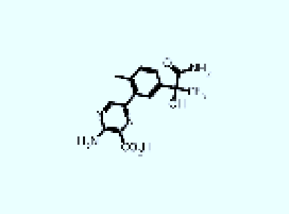 Cc1ccc(C(O)(C(N)=O)C(F)(F)F)cc1-c1cnc(N)c(C(=O)O)n1